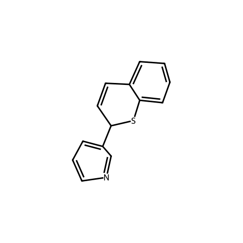 C1=CC(c2cccnc2)Sc2ccccc21